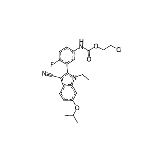 CCn1c(-c2cc(NC(=O)OCCCl)ccc2F)c(C#N)c2ccc(OC(C)C)cc21